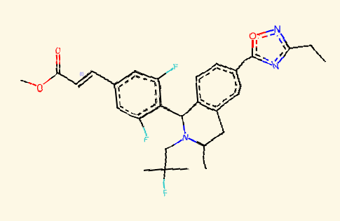 CCc1noc(-c2ccc3c(c2)CC(C)N(CC(C)(C)F)C3c2c(F)cc(/C=C/C(=O)OC)cc2F)n1